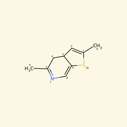 CC1=CC2CC(C)=NC=C2S1